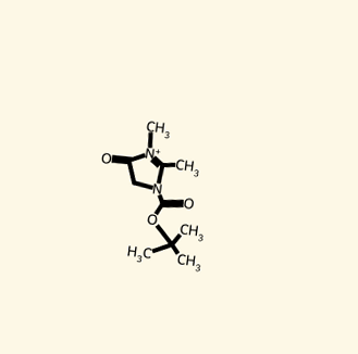 CC1=[N+](C)C(=O)CN1C(=O)OC(C)(C)C